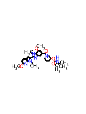 CCn1c(-c2nc3cc(C(=O)N4CCCC(OC(=O)NC(C)(C)C)C4)cc(OC)c3n2C)cc2ccc(OC)nc21